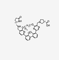 COc1nc(-c2cccc(-c3cccc(-c4cnc(CN5CC[C@H](C(=O)O)C5)c(OC)n4)c3Cl)c2Cl)ccc1CNC[C@@H]1CCC(=O)N1